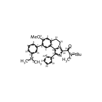 COc1cc2c(cc1-c1cccc(N(C)C)c1)-c1c(-c3cccs3)nc(C(=O)N(C)C(C)(C)C)n1CC2